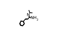 CC(C)N=C(N)C=Cc1ccccc1